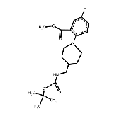 COC(=O)c1cc(F)ccc1N1CCC(CNC(=O)OC(C)(C)C)CC1